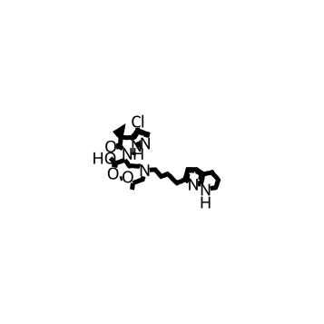 COC(C)CN(CCCCc1ccc2c(n1)NCCC2)CCC(NC(=O)C1(c2c(Cl)cnn2C)CC1)C(=O)O